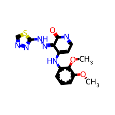 COc1cccc(NC2=CC=NC(=O)C2=NNc2nncs2)c1OC